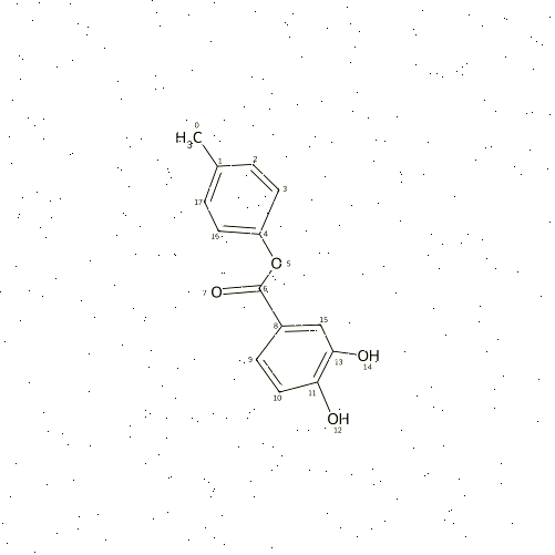 Cc1ccc(OC(=O)c2ccc(O)c(O)c2)cc1